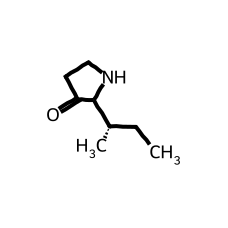 CC[C@H](C)C1NCCC1=O